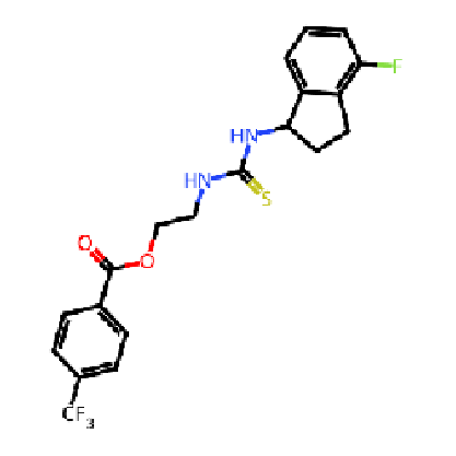 O=C(OCCNC(=S)NC1CCc2c(F)cccc21)c1ccc(C(F)(F)F)cc1